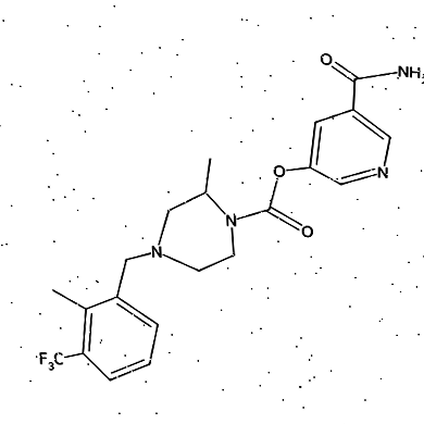 Cc1c(CN2CCN(C(=O)Oc3cncc(C(N)=O)c3)C(C)C2)cccc1C(F)(F)F